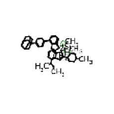 CCC(C)c1cccc2c1C=C(C1CCC(C)CC1)[CH]2[Zr]([Cl])([Cl])([CH]1C(C)=Cc2c(-c3ccc(C45CC6CC(CC(C6)C4)C5)cc3)cccc21)[SiH](C)C